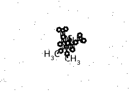 Cc1ccc(-c2nc3c(N(c4ccccc4)c4ccc(-n5c6ccccc6c6ccccc65)cc4)c4nsnc4c(N(c4ccccc4)c4ccc(-n5c6ccccc6c6ccccc65)cc4)c3nc2-c2ccc(C)cc2)cc1